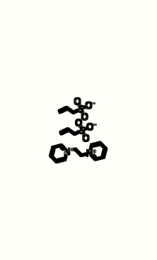 C=CCS(=O)(=O)[O-].C=CCS(=O)(=O)[O-].c1cc[n+](CC[n+]2ccccc2)cc1